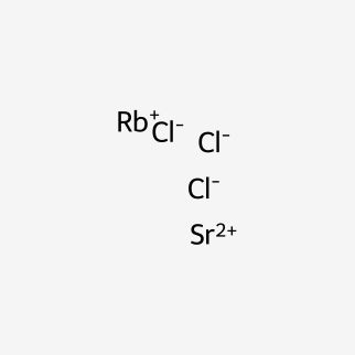 [Cl-].[Cl-].[Cl-].[Rb+].[Sr+2]